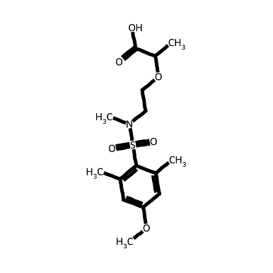 COc1cc(C)c(S(=O)(=O)N(C)CCOC(C)C(=O)O)c(C)c1